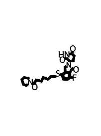 O=C1CCC(N2Cc3c(SCCCCCCC(=O)N4CCCCC4)ccc(F)c3C2=O)C(=O)N1